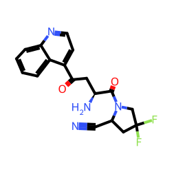 N#CC1CC(F)(F)CN1C(=O)[C@@H](N)CC(=O)c1ccnc2ccccc12